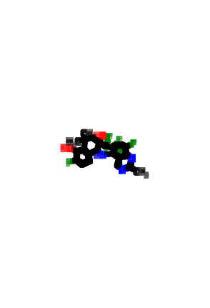 Cc1ncc2c(NC3c4ccc(F)c(O)c4C(C)(C)CC3(O)C(F)(F)C(F)(F)F)ccc(F)c2n1